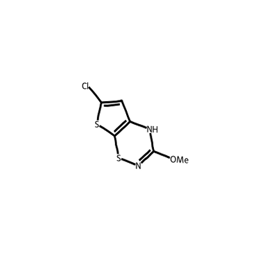 COC1=NSc2sc(Cl)cc2N1